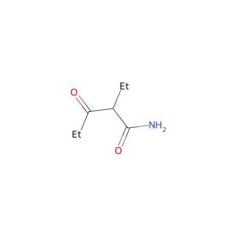 CCC(=O)C(CC)C(N)=O